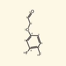 O=[C]COc1ccc(F)c(F)c1